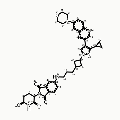 O=C1CCC(N2C(=O)c3ccc(NCCCC4CC(n5cc(-c6cnc7ccc(N8CCOCC8)cc7n6)c(C6CC6)n5)C4)cc3C2=O)C(=O)N1